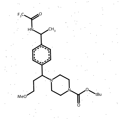 COCCC(c1ccc(C(C)NC(=O)C(F)(F)F)cc1)N1CCN(C(=O)OC(C)(C)C)CC1